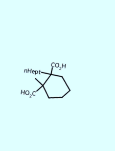 CCCCCCCC1(C(=O)O)CCCCC1(C)C(=O)O